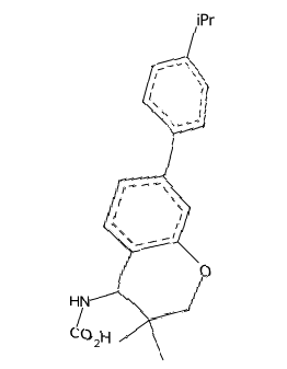 CC(C)c1ccc(-c2ccc3c(c2)OCC(C)(C)C3NC(=O)O)cc1